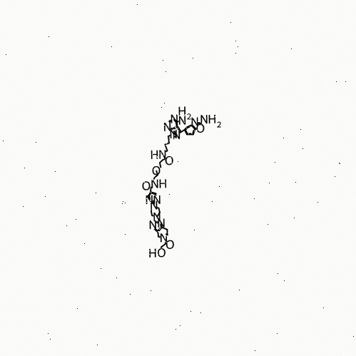 Nc1nc2cc(-c3nn(CCCCNC(=O)CCOCCNC(=O)c4cnc(N5CCN(c6ncc7c(n6)CCN(C(=O)CO)C7)CC5)nc4)c4ncnc(N)c34)ccc2o1